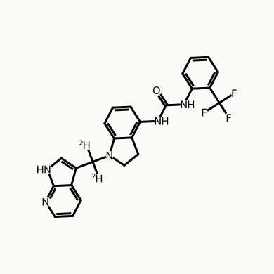 [2H]C([2H])(c1c[nH]c2ncccc12)N1CCc2c(NC(=O)Nc3ccccc3C(F)(F)F)cccc21